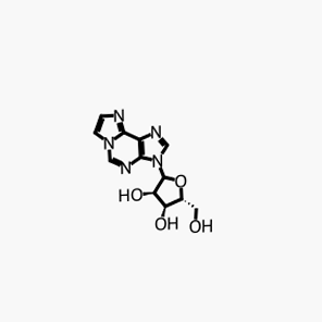 OC[C@H]1OC(n2cnc3c2ncn2ccnc32)[C@H](O)[C@@H]1O